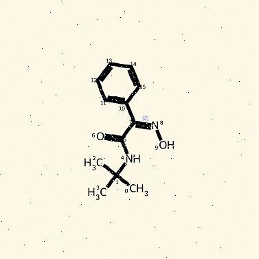 CC(C)(C)NC(=O)/C(=N\O)c1ccccc1